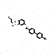 O=C(Nc1ccc(O)c(NS(=O)(=O)CCCCl)c1)c1ccc(-c2ccc(C(F)(F)F)cc2)cc1